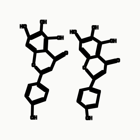 O=c1cc(-c2ccc(O)cc2)oc2cc(O)c(O)c(O)c12.O=c1cc(-c2ccc(O)cc2)oc2cc(O)c(O)c(O)c12